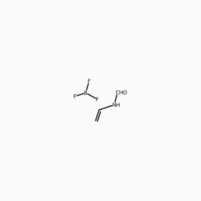 C=CNC=O.FB(F)F